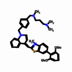 COc1cccc(OC)c1-c1ccc2c(c1)sc(C=C1C=CN(Cc3ccc(CN(C)CCCN(C)C)cc3)c3ccccc31)[n+]2C